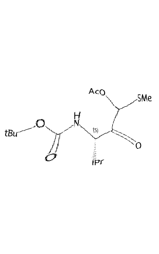 CSC(OC(C)=O)C(=O)[C@@H](NC(=O)OC(C)(C)C)C(C)C